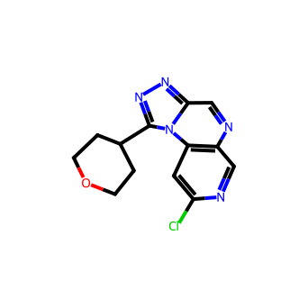 Clc1cc2c(cn1)ncc1nnc(C3CCOCC3)n12